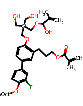 C=C(C)C(=O)OCCCc1cc(-c2ccc(OCCCCCCCC)c(F)c2)ccc1OC[Si](CO)(CO)COC(O)C(=C)C